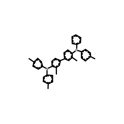 Cc1ccc(N(c2ccccc2)c2ccc(-c3ccc(N(c4ccc(C)cc4)c4ccc(C)cc4)c(C)c3)cc2C)cc1